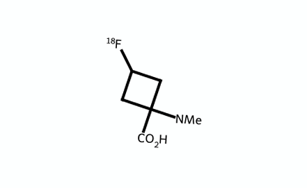 CNC1(C(=O)O)CC([18F])C1